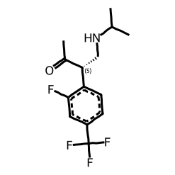 CC(=O)[C@H](CNC(C)C)c1ccc(C(F)(F)F)cc1F